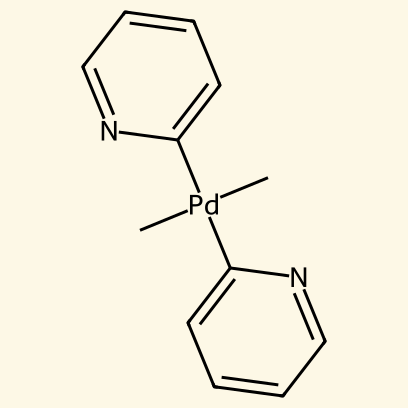 [CH3][Pd]([CH3])([c]1ccccn1)[c]1ccccn1